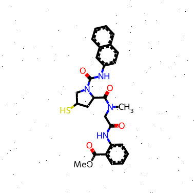 COC(=O)c1ccccc1NC(=O)CN(C)C(=O)C1CC(S)CN1C(=O)Nc1ccc2ccccc2c1